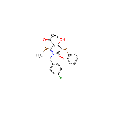 CSc1c(C(C)=O)c(O)c(Sc2ccccc2)c(=O)n1Cc1ccc(F)cc1